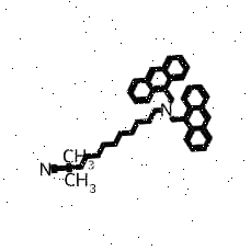 CC(C)(C#N)CCCCCCCCCCN(Cc1c2ccccc2cc2ccccc12)Cc1c2ccccc2cc2ccccc12